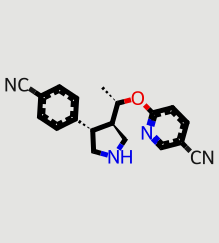 C[C@H](Oc1ccc(C#N)cn1)[C@H]1CNC[C@@H]1c1ccc(C#N)cc1